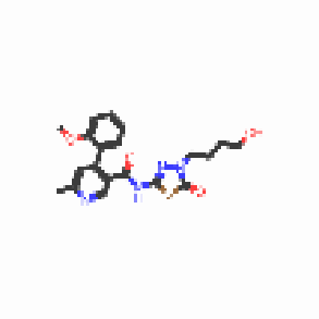 COc1ccccc1-c1cc(C)ncc1C(=O)Nc1nn(CCCCO)c(=O)s1